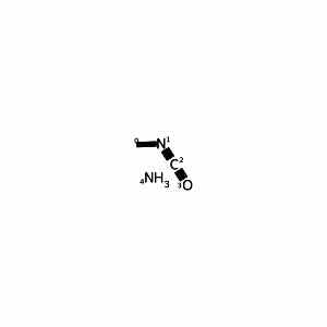 CN=C=O.N